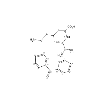 CC(N)C(=O)NC(CCCCN)C(=O)O.O=C(c1ccccc1)c1ccccc1